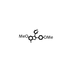 COc1ccc(C2=C(c3ccsc3)c3cc(OC)cc(C)c3C2)cc1